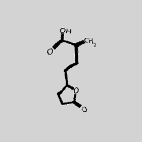 C=C(CCC1CCC(=O)O1)C(=O)O